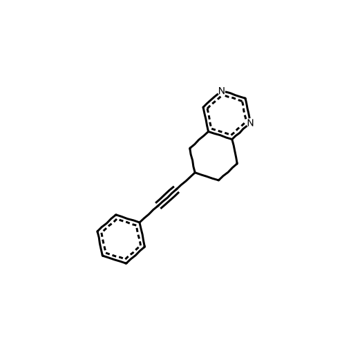 C(#CC1CCc2ncncc2C1)c1ccccc1